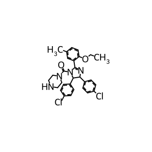 CCOc1ccc(C)cc1C1=NC(c2ccc(Cl)cc2)C(c2ccc(Cl)cc2)N1C(=O)N1CCNCC1